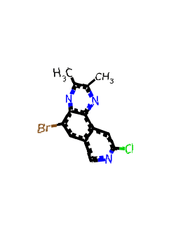 Cc1nc2c(Br)cc3cnc(Cl)cc3c2nc1C